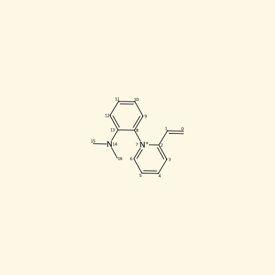 C=Cc1cccc[n+]1-c1ccccc1N(C)C